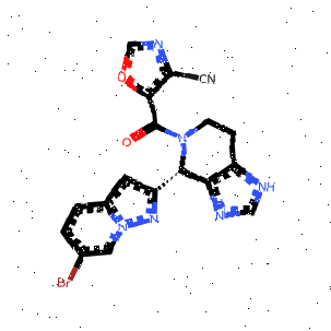 N#Cc1ncoc1C(=O)N1CCc2[nH]cnc2[C@@H]1c1cc2ccc(Br)cn2n1